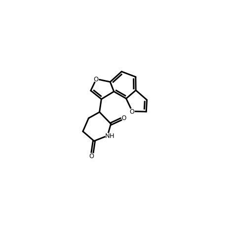 O=C1CCC(c2coc3ccc4ccoc4c23)C(=O)N1